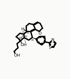 C[C@@]12C[C@H](c3ccc(-c4nccs4)cc3)C3=C4C(=O)CCC=C4CC[C@H]3[C@@H]1CC[C@@]2(O)CCCO